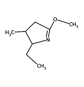 CCC1N=C(OC)CC1C